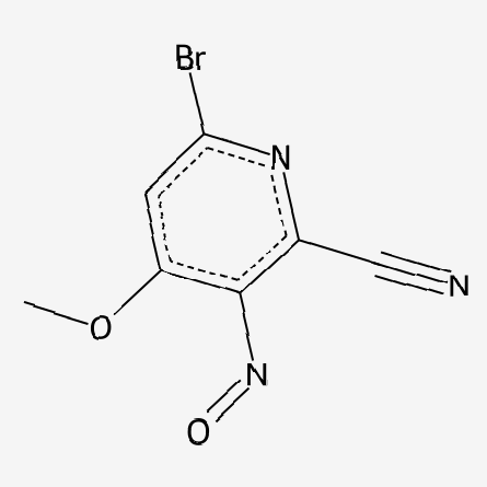 COc1cc(Br)nc(C#N)c1N=O